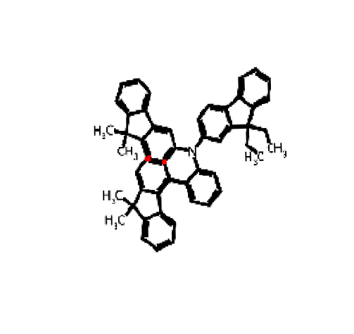 CCC1(CC)c2ccccc2-c2ccc(N(c3ccc4c(c3)-c3ccccc3C4(C)C)c3ccccc3-c3cccc4c3-c3ccccc3C4(C)C)cc21